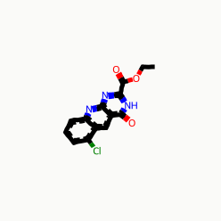 CCOC(=O)c1nc2nc3cccc(Cl)c3cc2c(=O)[nH]1